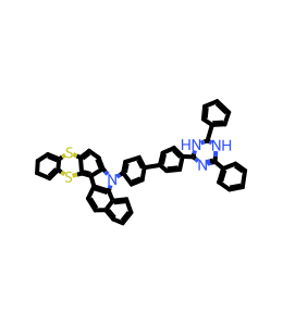 C1=C2Sc3ccc4c(c3SC2=CCC1)c1ccc2ccccc2c1n4-c1ccc(-c2ccc(C3N=C(c4ccccc4)NC(c4ccccc4)N3)cc2)cc1